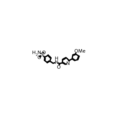 COc1cccc(-c2ccc(C(=O)NCc3ccc(S(N)(=O)=O)cc3)cn2)c1